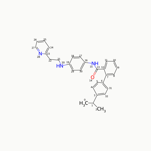 CC(C)c1ccc(-c2ccccc2C(=O)Nc2ccc(NCCc3ccccn3)cc2)cc1